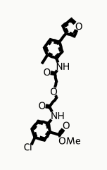 COC(=O)c1cc(Cl)ccc1NC(=O)COCC(=O)Nc1cc(-c2ccoc2)ccc1C